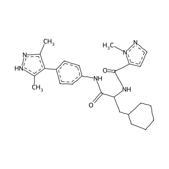 Cc1n[nH]c(C)c1-c1ccc(NC(=O)C(CC2CCCCC2)NC(=O)c2ccnn2C)cc1